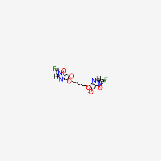 COc1cc2c(cc1OCCCCCCCOc1cc3c(cc1OC)C(=O)N1C[C@@H](F)C[C@H]1C=N3)N=C[C@@H]1C[C@H](F)CN1C2=O